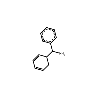 NC(c1ccccc1)C1C=CC=CC1